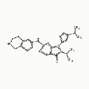 CC(C)n1cnc(-n2c3nc(Nc4ccc5c(c4)CCNC5)ncc3c(=O)n2C(C)C)c1